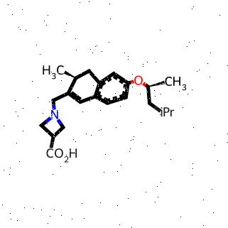 CC(C)C[C@H](C)Oc1ccc2c(c1)C[C@H](C)C(CN1CC(C(=O)O)C1)=C2